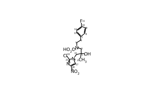 CC(O)(CN(CCc1ccc(F)cc1)C(=O)O)Cn1cc([N+](=O)[O-])nc1Cl